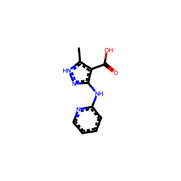 Cc1[nH]nc(Nc2ccccn2)c1C(=O)O